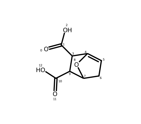 O=C(O)C1C2=CCC(O2)C1C(=O)O